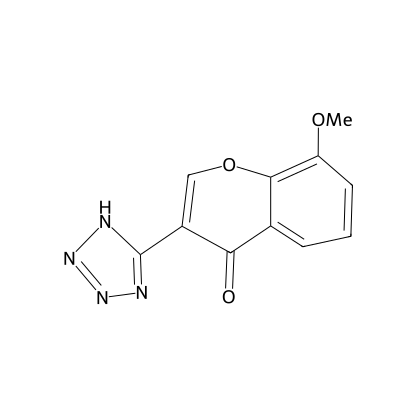 COc1cccc2c(=O)c(-c3nnn[nH]3)coc12